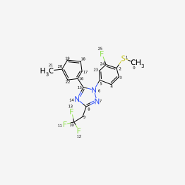 CSc1ccc(-n2nc(CC(F)(F)F)nc2-c2cccc(C)c2)cc1F